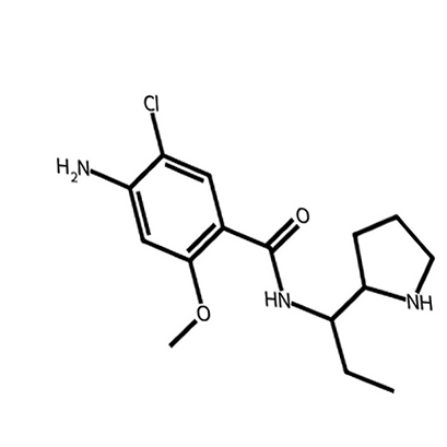 CCC(NC(=O)c1cc(Cl)c(N)cc1OC)C1CCCN1